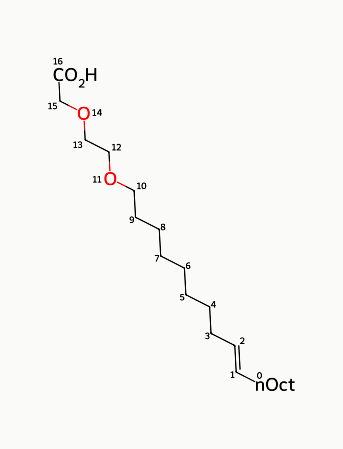 CCCCCCCC/C=C/CCCCCCCCOCCOCC(=O)O